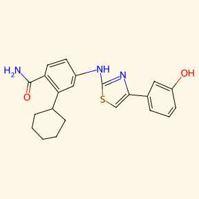 NC(=O)c1ccc(Nc2nc(-c3cccc(O)c3)cs2)cc1C1CCCCC1